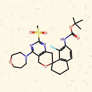 CC(C)(C)OC(=O)Nc1ccc2c(c1F)C1(CCC2)Cc2nc(S(C)(=O)=O)nc(N3CCCOCC3)c2CO1